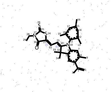 C=C(C)c1cc2c(cc1C)N(c1c(C)cc(C)cc1C)/C(=C/C=C1\SC(=S)N(CC)C1=O)C2(C)C